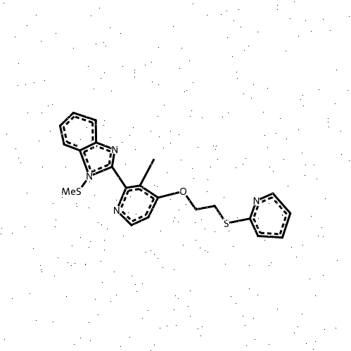 CSn1c(-c2nccc(OCCSc3ccccn3)c2C)nc2ccccc21